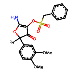 [2H]C1(c2ccc(OC)c(OC)c2)OC(N)=C(OS(=O)(=O)Cc2ccccc2)C1=O